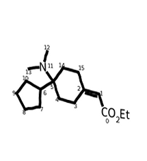 CCOC(=O)C=C1CCC(C2CCCC2)(N(C)C)CC1